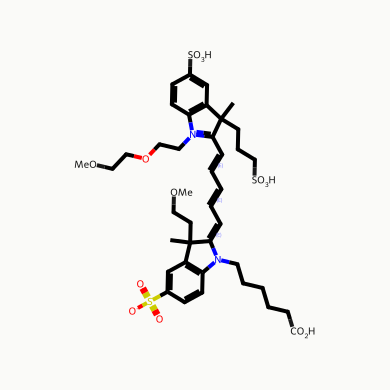 COCCOCC[N+]1=C(/C=C/C=C/C=C2/N(CCCCCC(=O)O)c3ccc(S(=O)(=O)[O-])cc3C2(C)CCOC)C(C)(CCCS(=O)(=O)O)c2cc(S(=O)(=O)O)ccc21